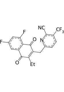 CCC1=C(Cc2ccc(C(F)(F)F)c(C#N)n2)C(=O)c2c(F)cc(F)cc2C1=O